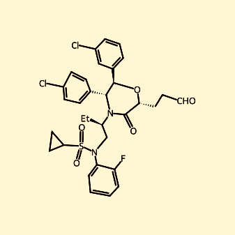 CC[C@H](CN(c1ccccc1F)S(=O)(=O)C1CC1)N1C(=O)[C@@H](CCC=O)O[C@H](c2cccc(Cl)c2)[C@H]1c1ccc(Cl)cc1